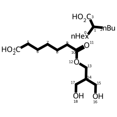 CCCCCCC(CCCC)C(=O)O.O=C(O)CCCCCC(=O)OCC(CO)CO